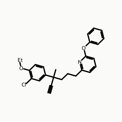 C#CC(C)(CCCc1cccc(Oc2ccccc2)n1)c1ccc(OCC)c(Cl)c1